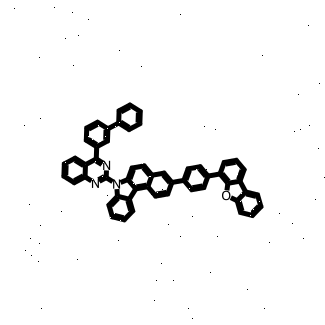 c1ccc(-c2cccc(-c3nc(-n4c5ccccc5c5c6ccc(-c7ccc(-c8cccc9c8oc8ccccc89)cc7)cc6ccc54)nc4ccccc34)c2)cc1